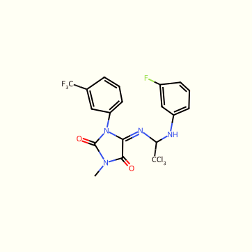 CN1C(=O)C(=NC(Nc2cccc(F)c2)C(Cl)(Cl)Cl)N(c2cccc(C(F)(F)F)c2)C1=O